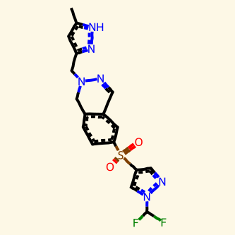 Cc1cc(CN2Cc3ccc(S(=O)(=O)c4cnn(C(F)F)c4)cc3C=N2)n[nH]1